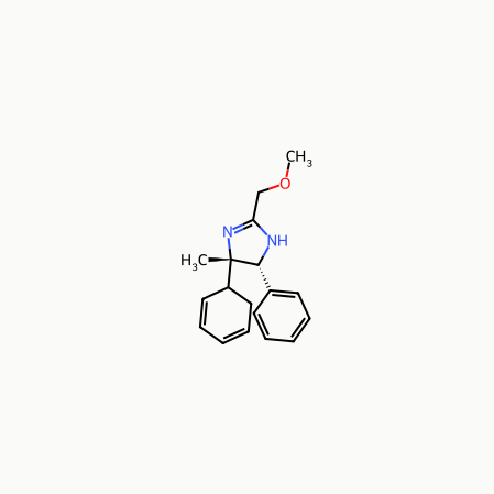 COCC1=N[C@@](C)(C2C=CC=CC2)[C@@H](c2ccccc2)N1